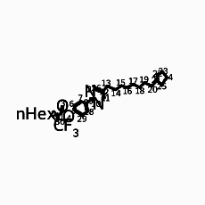 CCCCCC[C@H](C(=O)Oc1ccc(-c2ncc(CCCCCCCCC3CCCC3)cn2)cc1)C(F)(F)F